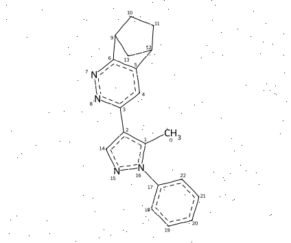 Cc1c(-c2cc3c(nn2)C2CCC3C2)cnn1-c1ccccc1